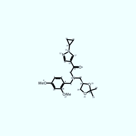 COc1ccc(CN(CC(=O)c2cnn(C3CC3)c2)C[C@@H]2COC(C)(C)O2)c(OC)c1